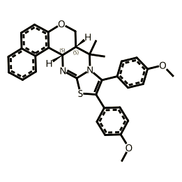 COc1ccc(C2=C(c3ccc(OC)cc3)N3C(=N[C@@H]4c5c(ccc6ccccc56)OC[C@@H]4C3(C)C)S2)cc1